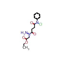 CCOC(=O)CN(N)C(=O)CCC(=O)N(Cl)c1ccccc1